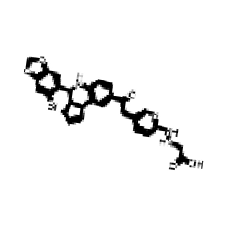 O=C(O)CNNc1ccc(CC(=O)c2ccc3c(c2)C2C=CCC2C(c2cc4c(cc2Br)OCO4)N3)cn1